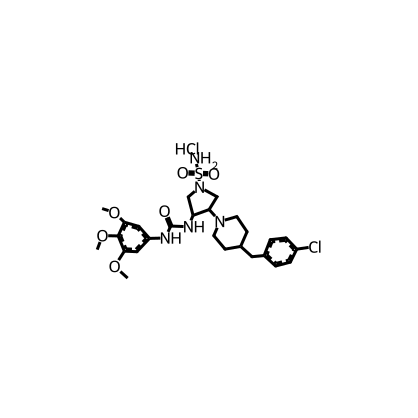 COc1cc(NC(=O)NC2CN(S(N)(=O)=O)CC2N2CCC(Cc3ccc(Cl)cc3)CC2)cc(OC)c1OC.Cl